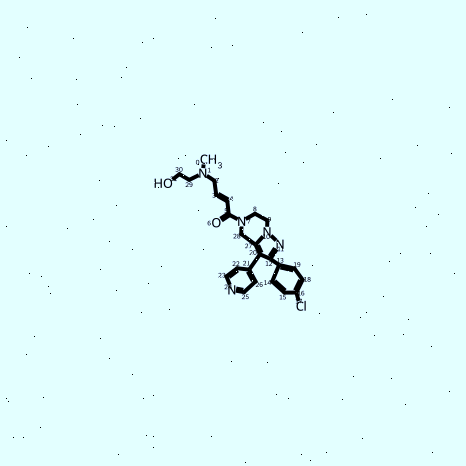 CN(C/C=C/C(=O)N1CCn2nc(-c3ccc(Cl)cc3)c(-c3ccncc3)c2C1)CCO